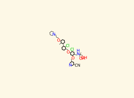 Cc1c(OCCCN2CCCCC2)cccc1-c1cccc(COc2cc(OCc3cncc(C#N)c3)c(CNC(C)(CO)CO)cc2Cl)c1Cl